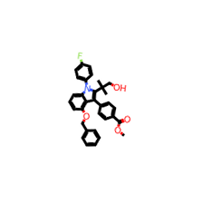 COC(=O)c1ccc(-c2c(C(C)(C)CO)n(-c3ccc(F)cc3)c3cccc(OCc4ccccc4)c23)cc1